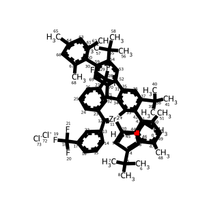 CCC1C=C(C(C)(C)C)C=[C]1[Zr+2](=[C](c1cccc(C(F)(F)F)c1)c1cccc(C(F)(F)F)c1)[c]1c2c(cc(C(C)(C)C)c1-c1c(C)cc(C)cc1C)-c1cc(C(C)(C)C)c(-c3c(C)cc(C)cc3C)cc1C2.[Cl-].[Cl-]